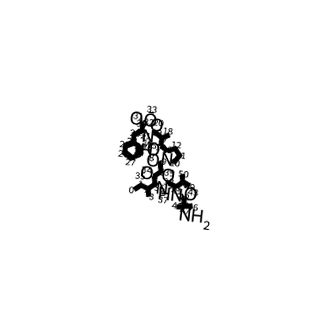 CCC(C)C(C(CC(=O)N1CCCC1C(OC)C(C)C(=O)NC(Cc1ccccc1)C(=O)OC)OC)N(C)C(=O)C(NC(=O)C(C)(C)N)C(C)C